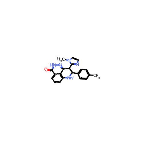 Cn1ccnc1C1c2n[nH]c(=O)c3cccc(c23)NC1c1ccc(C(F)(F)F)cc1